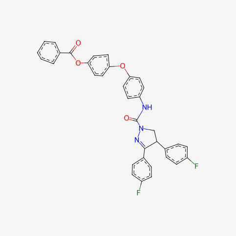 O=C(Oc1ccc(Oc2ccc(NC(=O)N3CC(c4ccc(F)cc4)C(c4ccc(F)cc4)=N3)cc2)cc1)c1ccccc1